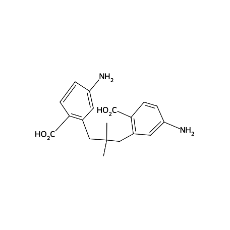 CC(C)(Cc1cc(N)ccc1C(=O)O)Cc1cc(N)ccc1C(=O)O